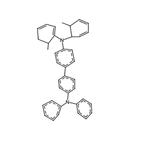 CC1CC=CC=C1N(c1ccc(-c2ccc(N(c3ccccc3)c3ccccc3)cc2)cc1)C1C=CC=CC1C